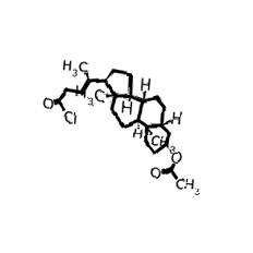 CC(=O)O[C@@H]1CC[C@@]2(C)[C@H](CC[C@@H]3[C@@H]2CC[C@]2(C)[C@@H]([C@H](C)CCC(=O)Cl)CC[C@@H]32)C1